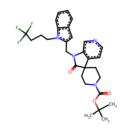 CC(C)(C)OC(=O)N1CCC2(CC1)C(=O)N(Cc1cc3ccccc3n1CCCC(F)(F)F)c1cnccc12